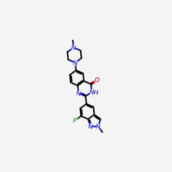 CN1CCN(c2ccc3nc(-c4cc(F)c5nn(C)cc5c4)[nH]c(=O)c3c2)CC1